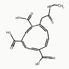 CNC(=O)Cc1cccc(C(=O)O)ccc(C(=O)O)cc1C(=O)O